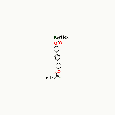 CCCCCC[C@@H](F)C(=O)OC1CCC(c2ccc(C3CCC(OC(=O)[C@H](F)CCCCCC)CC3)cc2)CC1